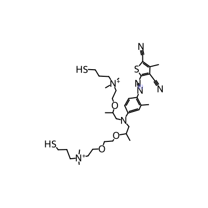 Cc1cc(N(CC(C)OCCOCC[N+](C)(C)CCCS)CC(C)OCC[N+](C)(C)CCCS)ccc1/N=N/c1sc(C#N)c(C)c1C#N